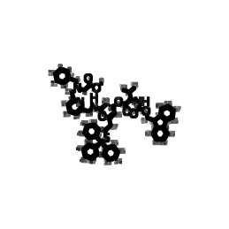 COC(=O)CN(Cc1ccccc1)Cc1cccc(CNC(=O)C[C@@H](C=CCCSC(c2ccccc2)(c2ccccc2)c2ccccc2)OC(=O)[C@H](NC(=O)OCC2c3ccccc3-c3ccccc32)C(C)C)n1